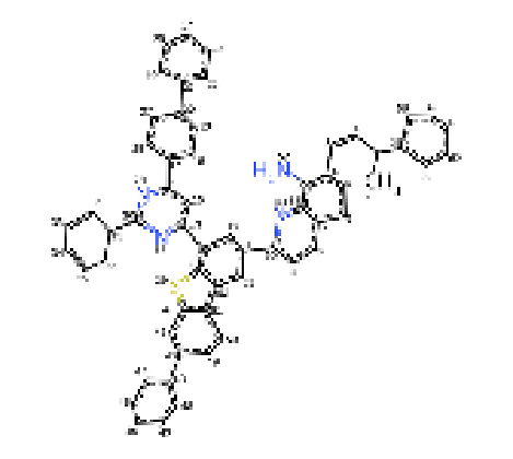 CC(/C=C\c1ccc2ccc(-c3cc(-c4cc(-c5ccc(-c6ccccc6)cc5)nc(C5C=CC=CC5)n4)c4sc5cc(-c6ccccc6)ccc5c4c3)nc2c1N)c1ccccc1